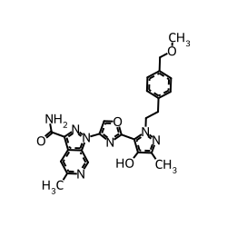 COCc1ccc(CCn2nc(C)c(O)c2-c2nc(-n3nc(C(N)=O)c4cc(C)ncc43)co2)cc1